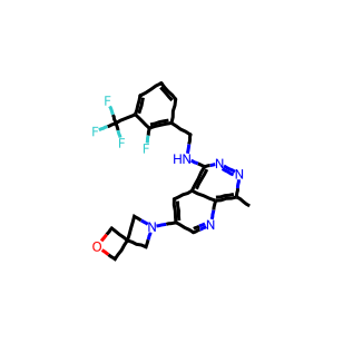 Cc1nnc(NCc2cccc(C(F)(F)F)c2F)c2cc(N3CC4(COC4)C3)cnc12